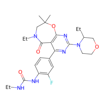 CCNC(=O)Nc1ccc(-c2nc(N3CCOCC3CC)nc3c2C(=O)N(CC)CC(C)(C)O3)cc1F